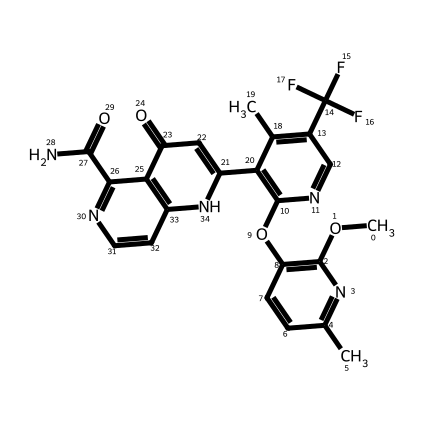 COc1nc(C)ccc1Oc1ncc(C(F)(F)F)c(C)c1-c1cc(=O)c2c(C(N)=O)nccc2[nH]1